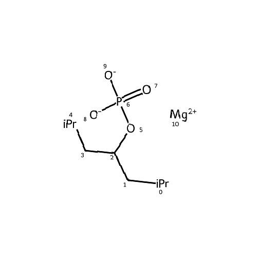 CC(C)CC(CC(C)C)OP(=O)([O-])[O-].[Mg+2]